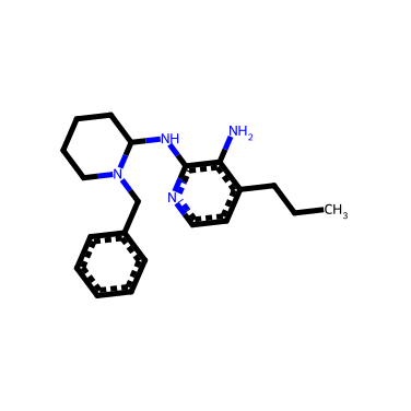 CCCc1ccnc(NC2CCCCN2Cc2ccccc2)c1N